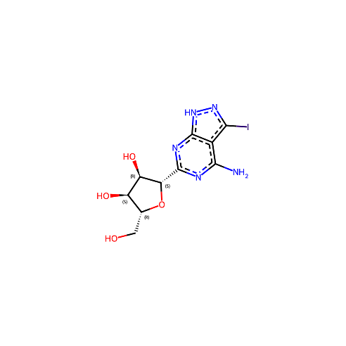 Nc1nc([C@@H]2O[C@H](CO)[C@@H](O)[C@H]2O)nc2[nH]nc(I)c12